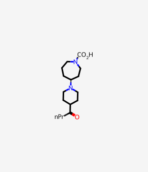 CCCC(=O)C1CCN([C@H]2CCCN(C(=O)O)CC2)CC1